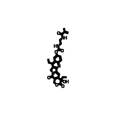 C=C(C)C(=O)NCCNC(=O)Oc1ccc2nc3c(c(CC)c2c1)Cn1c-3cc2c(c1=O)COC(=O)C2(O)CC